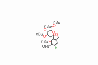 CCCCOC[C@H]1O[C@]2(OCc3cc(F)c(C=O)cc32)[C@H](OCCCC)[C@@H](OCCCC)[C@@H]1OCCCC